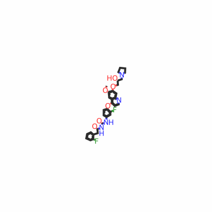 COc1cc2c(Oc3ccc(NC(=O)NC(=O)Cc4ccccc4F)cc3F)ccnc2cc1OCC(O)CN1CCCC1